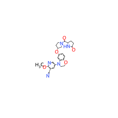 COc1ncc(N2CCOc3ccc(OC4CCN(C(=O)C5CCC(=O)N5)C4)cc32)cc1C#N